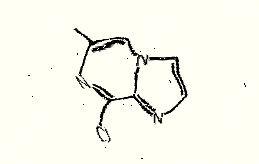 Cc1cn2ccnc2c(Cl)n1